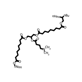 CCCCCCCCCOC(=O)CCCCCCCC(=O)OCC(COC(=O)CCCCCCCC(=O)OCC(CCCC)CCCCCC)OC(=O)CCCN(C)C